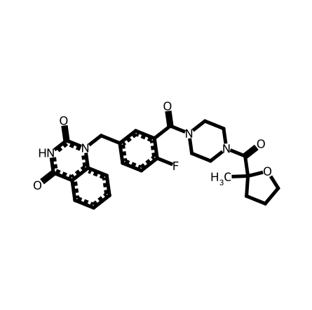 CC1(C(=O)N2CCN(C(=O)c3cc(Cn4c(=O)[nH]c(=O)c5ccccc54)ccc3F)CC2)CCCO1